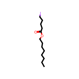 CCCCCCCCOC(=O)CCCCI